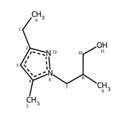 CCc1cc(C)n(CC(C)CO)n1